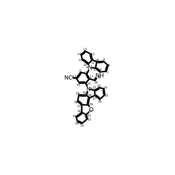 N#Cc1cc(-n2c3ccccc3c3ccccc32)c(C=N)c(-n2c3ccccc3c3c4oc5ccccc5c4ccc32)c1